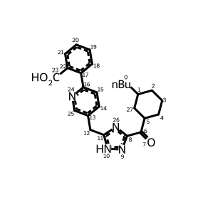 CCCCC1CCCC(C(=O)c2n[nH]c(Cc3ccc(-c4ccccc4C(=O)O)nc3)n2)C1